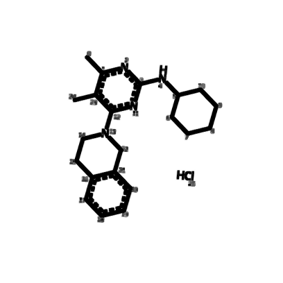 Cc1nc(NC2CCCCC2)nc(N2CCc3ccccc3C2)c1C.Cl